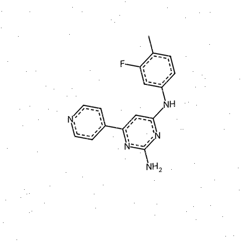 Cc1ccc(Nc2cc(-c3ccncc3)nc(N)n2)cc1F